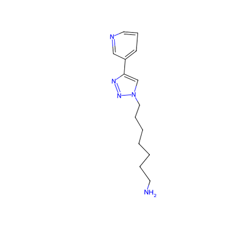 NCCCCCCCn1cc(-c2cccnc2)nn1